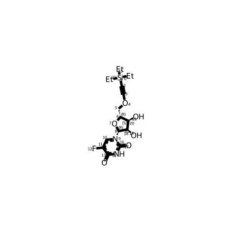 CC[Si](C#COC[C@H]1O[C@@H](n2cc(F)c(=O)[nH]c2=O)[C@H](O)[C@@H]1O)(CC)CC